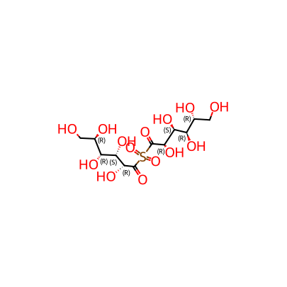 O=C([C@H](O)[C@@H](O)[C@H](O)[C@H](O)CO)S(=O)(=O)C(=O)[C@H](O)[C@@H](O)[C@H](O)[C@H](O)CO